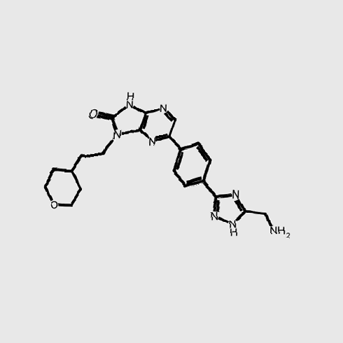 NCc1nc(-c2ccc(-c3cnc4[nH]c(=O)n(CCC5CCOCC5)c4n3)cc2)n[nH]1